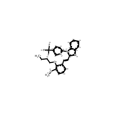 CCCCOc1c(/C=C/c2nc3ccccc3n2-c2ccc(C(F)(F)F)cn2)cccc1OC